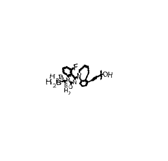 BC(B)(B)n1c(=O)nc(N2CCCCc3c(C#CC(C)(C)O)cccc32)c2c(F)cccc21